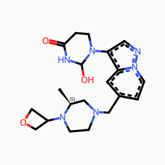 C[C@H]1CN(Cc2ccn3ncc(N4CCC(=O)NC4O)c3c2)CCN1C1COC1